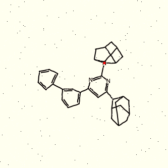 c1ccc(-c2cccc(-c3cc(C4C5CC6CC(C5)CC4C6)nc(N4C5CC6CC7CC4C67C5)n3)c2)cc1